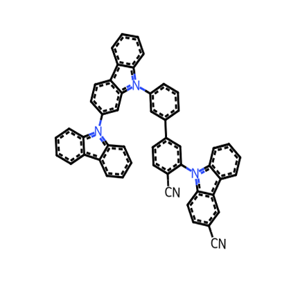 N#Cc1ccc2c(c1)c1ccccc1n2-c1cc(-c2cccc(-n3c4ccccc4c4ccc(-n5c6ccccc6c6ccccc65)cc43)c2)ccc1C#N